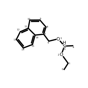 CCO[SiH](C)OCc1cccc2ccccc12